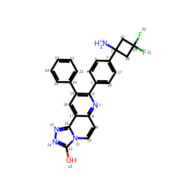 NC1(c2ccc(-c3nc4ccn5c(O)nnc5c4cc3-c3ccccc3)cc2)CC(F)(F)C1